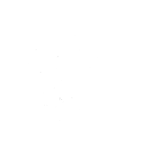 O=C(C=Cc1cccc(-c2ccccc2)c1)N1C(=O)OCC1Cc1ccccc1